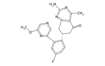 COc1cncc(-c2cc(F)ccc2[C@H]2CC(=O)c3c(C)nc(N)nc3C2)n1